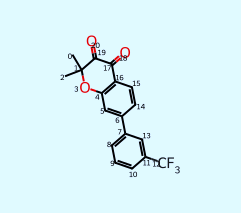 CC1(C)Oc2cc(-c3cccc(C(F)(F)F)c3)ccc2C(=O)C1=O